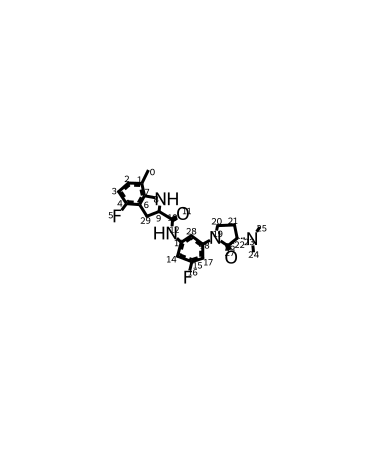 Cc1ccc(F)c2c1NC(C(=O)Nc1cc(F)cc(N3CC[C@H](N(C)C)C3=O)c1)C2